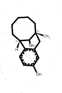 C[C@@]12CCCCC[C@@H](c3ccc(O)cc3C1)C2N